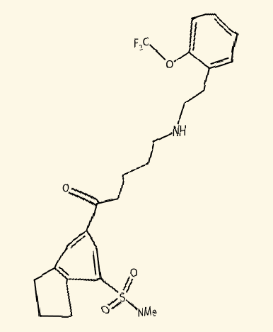 CNS(=O)(=O)c1cc(C(=O)CCCCNCCc2ccccc2OC(F)(F)F)cc2c1CCC2